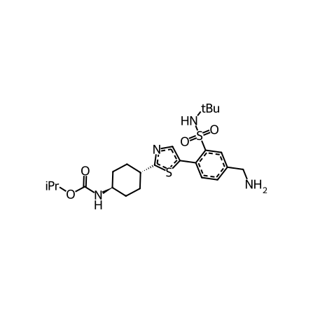 CC(C)OC(=O)N[C@H]1CC[C@H](c2ncc(-c3ccc(CN)cc3S(=O)(=O)NC(C)(C)C)s2)CC1